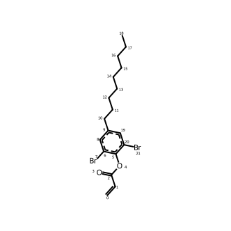 C=CC(=O)Oc1c(Br)cc(CCCCCCCCC)cc1Br